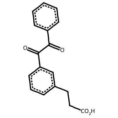 O=C(O)CCc1cccc(C(=O)C(=O)c2ccccc2)c1